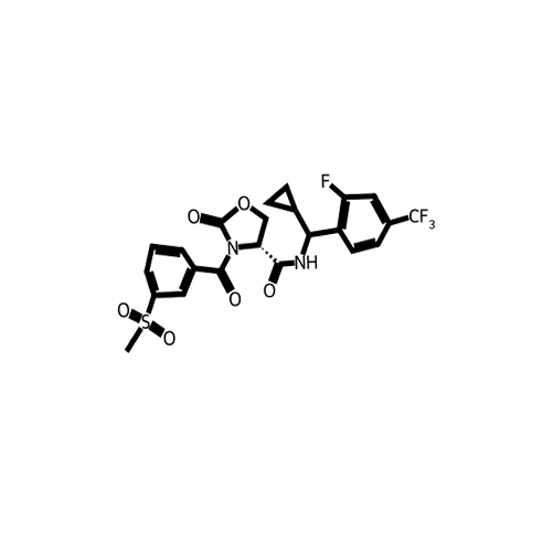 CS(=O)(=O)c1cccc(C(=O)N2C(=O)OC[C@@H]2C(=O)NC(c2ccc(C(F)(F)F)cc2F)C2CC2)c1